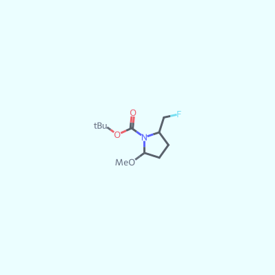 COC1CCC(CF)N1C(=O)OC(C)(C)C